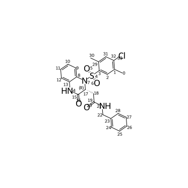 Cc1cc(S(=O)(=O)N2c3ccccc3NC(=O)[C@H]2CC(=O)NCc2ccccc2)c(C)cc1Cl